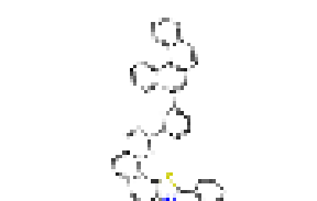 c1ccc(-c2nc3ccc4ccc5ccc(-c6cccc(-c7cc8ccc9ccccc9c8c8ccccc78)c6)cc5c4c3s2)cc1